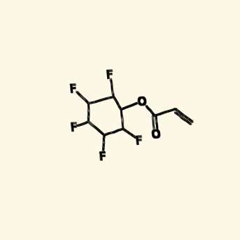 C=CC(=O)OC1C(F)C(F)C(F)C(F)C1F